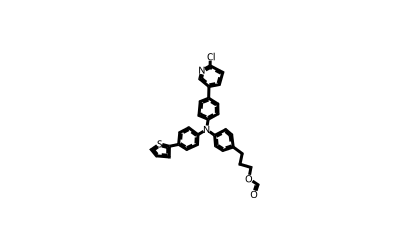 O=COCCCc1ccc(N(c2ccc(-c3ccc(Cl)nc3)cc2)c2ccc(-c3cccs3)cc2)cc1